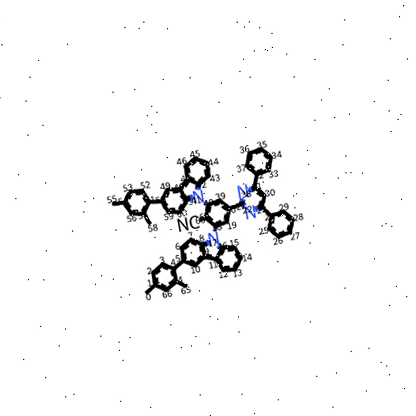 Cc1ccc(-c2ccc3c(c2)c2ccccc2n3-c2cc(-c3nc(-c4ccccc4)cc(-c4ccccc4)n3)cc(-n3c4ccccc4c4cc(-c5ccc(C)cc5C)ccc43)c2C#N)c(C)c1